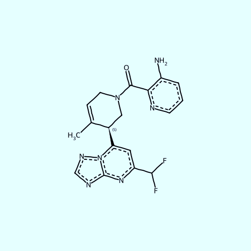 CC1=CCN(C(=O)c2ncccc2N)C[C@H]1c1cc(C(F)F)nc2ncnn12